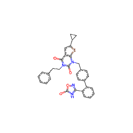 O=c1[nH]c(-c2ccccc2-c2ccc(Cn3c(=O)n(CCc4ccccc4)c(=O)c4cc(C5CC5)sc43)cc2)no1